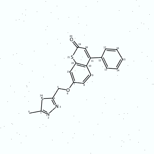 Cc1nnc(COc2ccc3c(-c4ccccc4)cc(=O)sc3c2)s1